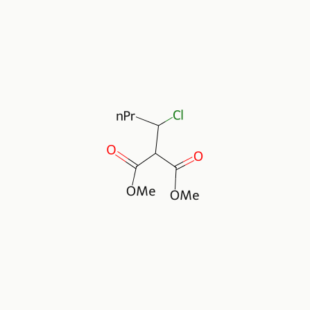 CCCC(Cl)C(C(=O)OC)C(=O)OC